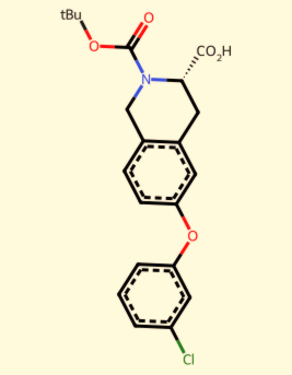 CC(C)(C)OC(=O)N1Cc2ccc(Oc3cccc(Cl)c3)cc2C[C@H]1C(=O)O